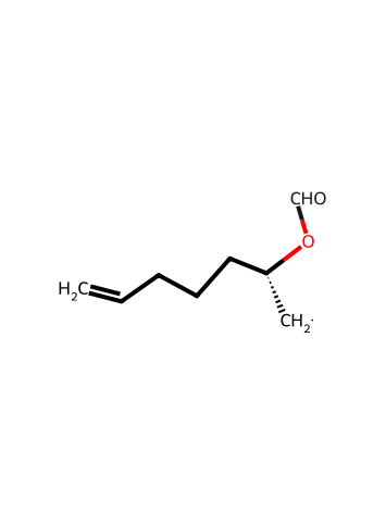 [CH2][C@H](CCCC=C)OC=O